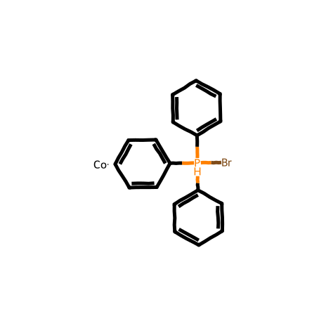 Br[PH](c1ccccc1)(c1ccccc1)c1ccccc1.[Co]